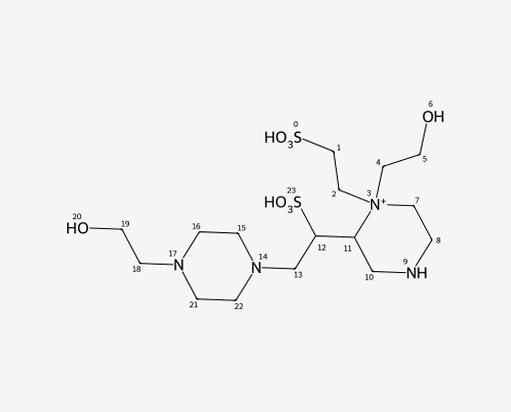 O=S(=O)(O)CC[N+]1(CCO)CCNCC1C(CN1CCN(CCO)CC1)S(=O)(=O)O